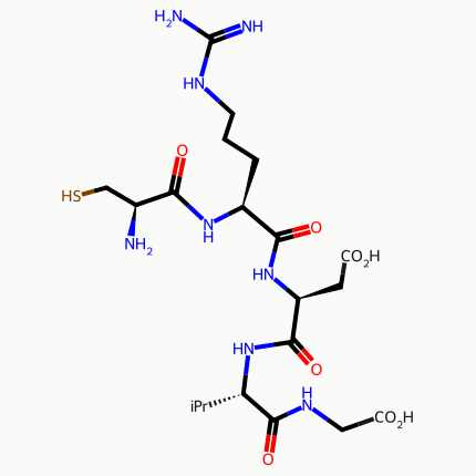 CC(C)[C@H](NC(=O)[C@H](CC(=O)O)NC(=O)[C@H](CCCNC(=N)N)NC(=O)[C@@H](N)CS)C(=O)NCC(=O)O